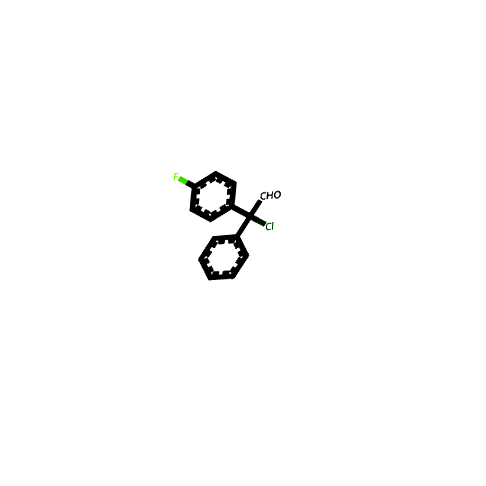 O=CC(Cl)(c1ccccc1)c1ccc(F)cc1